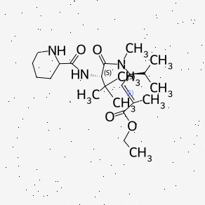 CCOC(=O)/C(C)=C/[C@H](C(C)C)N(C)C(=O)[C@@H](NC(=O)C1CCCCN1)C(C)(C)C